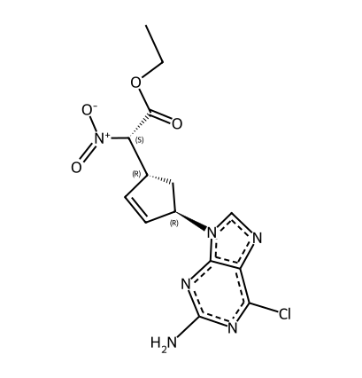 CCOC(=O)[C@H]([C@H]1C=C[C@H](n2cnc3c(Cl)nc(N)nc32)C1)[N+](=O)[O-]